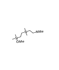 CNCC[Si](C)(C)CC[Si](C)(C)OC